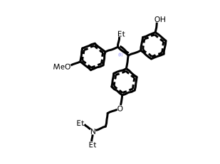 CC/C(=C(/c1ccc(OCCN(CC)CC)cc1)c1cccc(O)c1)c1ccc(OC)cc1